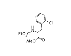 CCOC(=O)NC(Cc1ccccc1Cl)C(=O)OC